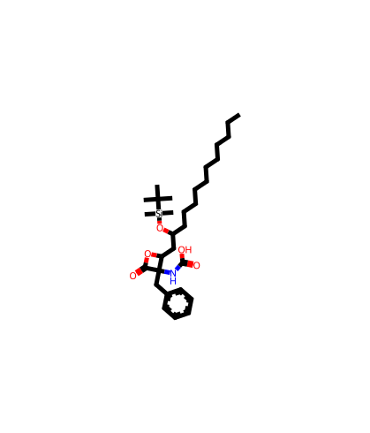 CCCCCCCCCCCC(CC1OC(=O)C1(Cc1ccccc1)NC(=O)O)O[Si](C)(C)C(C)(C)C